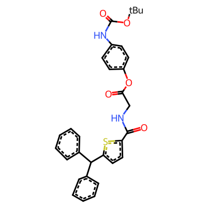 CC(C)(C)OC(=O)Nc1ccc(OC(=O)CNC(=O)c2ccc(C(c3ccccc3)c3ccccc3)s2)cc1